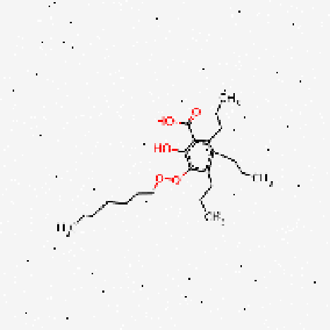 CCCCCCCOOc1c(O)c(C(=O)O)c(CCC)c(CCC)c1CCC